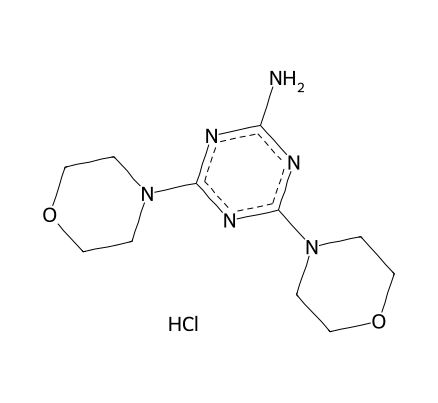 Cl.Nc1nc(N2CCOCC2)nc(N2CCOCC2)n1